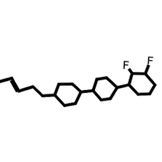 C/C=C/CCC1CCC(C2CCC(C3CCCC(F)C3F)CC2)CC1